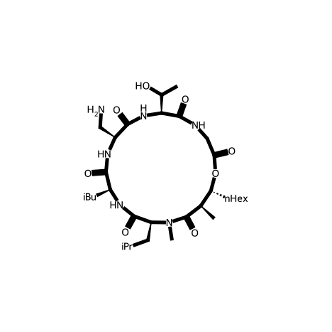 CCCCCC[C@H]1OC(=O)CNC(=O)[C@H](C(C)O)NC(=O)[C@H](CN)NC(=O)[C@H](C(C)CC)NC(=O)[C@H](CC(C)C)N(C)C(=O)[C@@H]1C